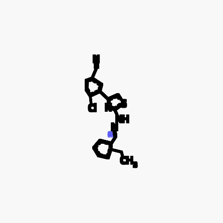 CCc1ccccc1/C=N/Nc1nc(-c2cc(C#N)ccc2Cl)cs1